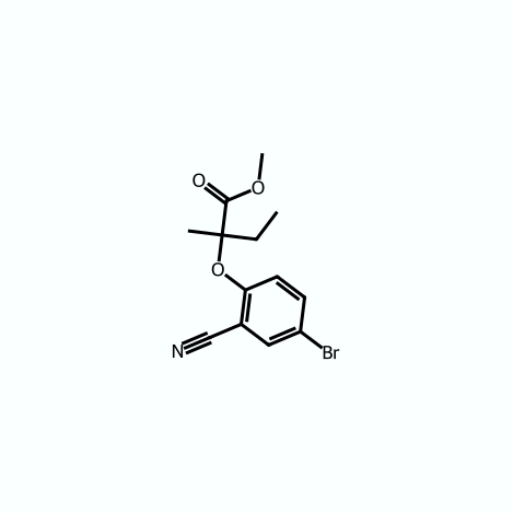 CCC(C)(Oc1ccc(Br)cc1C#N)C(=O)OC